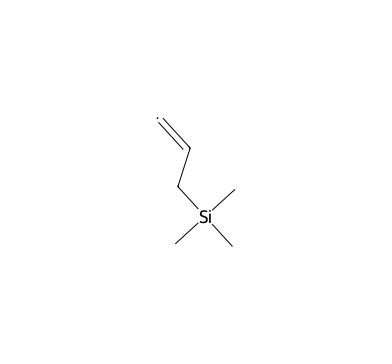 [CH]=CC[Si](C)(C)C